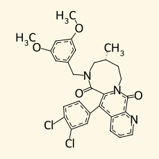 COc1cc(CN2C[C@H](C)CCn3c(c(-c4ccc(Cl)c(Cl)c4)c4cccnc4c3=O)C2=O)cc(OC)c1